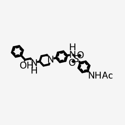 CC(=O)Nc1ccc(S(=O)(=O)Nc2ccc(N3CCC(NC[C@@H](O)c4ccccc4)CC3)cc2)cc1